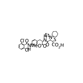 CCN1C(C(=O)NC(Cc2ccc(NC(=O)c3c(Cl)cccc3Cl)cc2)C(=O)OC)C(C(=O)O)SC12CCCCC2